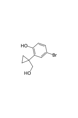 OCC1(c2cc(Br)ccc2O)CC1